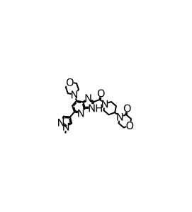 Cn1cc(-c2cc(N3CCOCC3)c3nc(C(=O)N4CCC(N5CCOCC5=O)CC4)[nH]c3n2)cn1